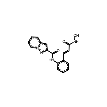 O=C(C=Cc1ccccc1NC(=O)c1cc2ccccn2n1)NO